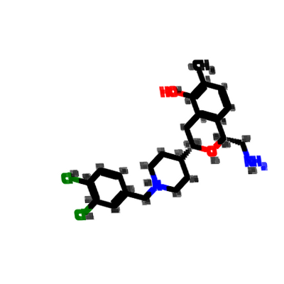 Cc1ccc2c(c1O)C[C@@H](C1CCN(Cc3ccc(Cl)c(Cl)c3)CC1)O[C@H]2CN